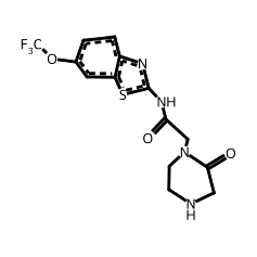 O=C(CN1CCNCC1=O)Nc1nc2ccc(OC(F)(F)F)cc2s1